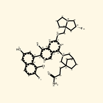 CCc1c(F)ccc2cc(O)cc(-c3ncc4c(N5CC6CCC(CCC(N)=O)(C6)C5)nc(OC[C@@]56CCCN5C[C@H](F)C6)nc4c3F)c12